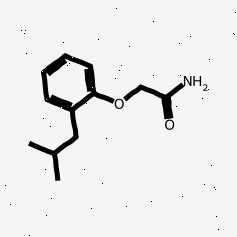 CC(C)Cc1ccccc1OCC(N)=O